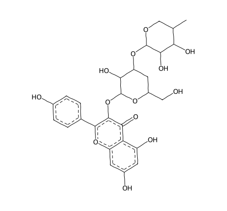 CC1COC(OC2CC(CO)OC(Oc3c(-c4ccc(O)cc4)oc4cc(O)cc(O)c4c3=O)C2O)C(O)C1O